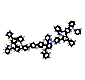 c1ccc(-n2c3ccccc3c3cc4c(cc32)c2c3sc5ccccc5c3cc(-c3ccc(-n5c6ccccc6c6c7c(ccc65)c5c6ccccc6cn5c5c7ccc6c7ccc(-c8ccc9c%10ccc%11c(c%12ccc%13c%14ccccc%14sc%13c%12n%12cc%13ccccc%13c%11%12)c%10n(-c%10ccccc%10)c9c8)cc7sc65)cc3)c2n2cc3ccccc3c42)cc1